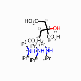 CC(C)NC(C)C.CC(C)NC(C)C.CC(C)NC(C)C.O=C(O)CC(O)(CC(=O)O)C(=O)O